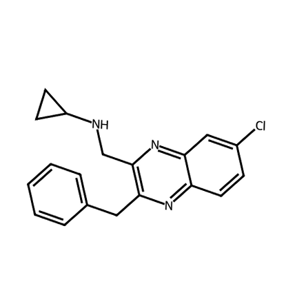 Clc1ccc2nc(Cc3ccccc3)c(CNC3CC3)nc2c1